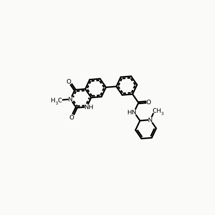 CN1C=CC=CC1NC(=O)c1cccc(-c2ccc3c(=O)n(C)c(=O)[nH]c3c2)c1